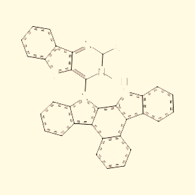 CN1C(n2c3ccccc3c3c4ccccc4c4c5ccccc5sc4c32)=c2sc3ccccc3c2=NC1Cl